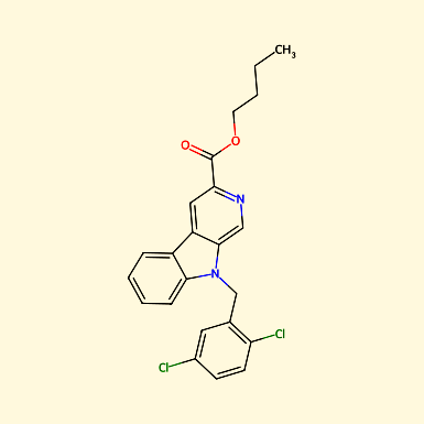 CCCCOC(=O)c1cc2c3ccccc3n(Cc3cc(Cl)ccc3Cl)c2cn1